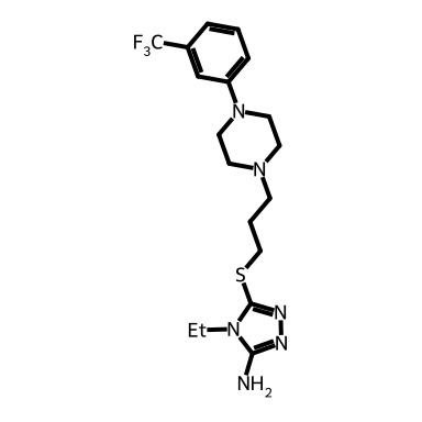 CCn1c(N)nnc1SCCCN1CCN(c2cccc(C(F)(F)F)c2)CC1